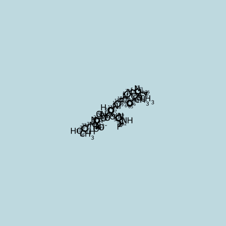 COc1cc(CN2CCN(C3CC4(CCN(c5ccc(C(=O)NS(=O)(=O)c6cnc(NCC7CCC(C)(O)CC7)c([N+](=O)[O-])c6)c(Oc6cnc7[nH]cc(F)c7c6)c5)CC4)C3)[C@H](c3ccccc3C(C)C)C2)ncc1C1CC1